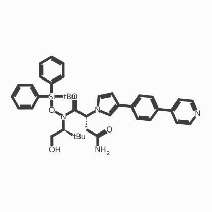 CC(C)(C)[C@@H](CO)N(O[Si](c1ccccc1)(c1ccccc1)C(C)(C)C)C(=O)[C@@H](CC(N)=O)n1ccc(-c2ccc(-c3ccncc3)cc2)c1